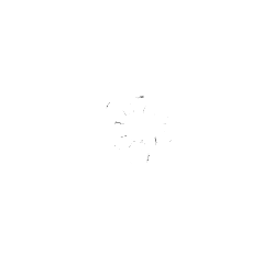 c1ccc(N2c3ccccc3-c3ccccc3-c3ccccc3-c3ccccc3-c3ccccc32)cc1